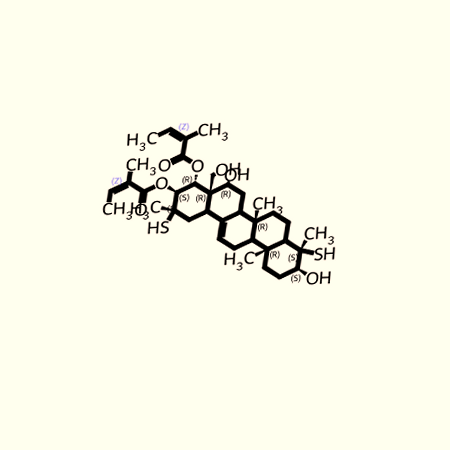 C/C=C(/C)C(=O)O[C@H]1[C@H](OC(=O)/C(C)=C\C)[C@@](C)(S)CC2C3=CCC4[C@@](C)(CCC5[C@]4(C)CC[C@H](O)[C@@]5(C)S)C3C[C@@H](O)[C@]21CO